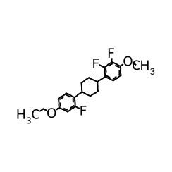 CCOc1ccc(C2CCC(c3ccc(OC)c(F)c3F)CC2)c(F)c1